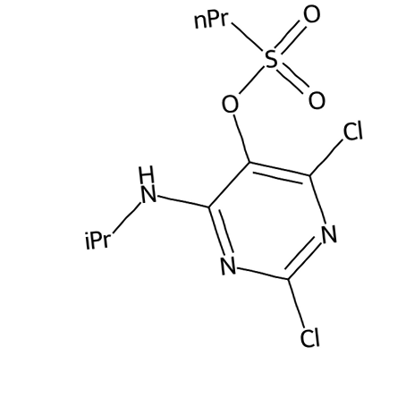 CCCS(=O)(=O)Oc1c(Cl)nc(Cl)nc1NC(C)C